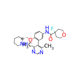 Cc1ncnc(C)c1-c1cc(NC(=O)C2(F)CCOCC2)ccc1OC[C@H]1CCCCN1